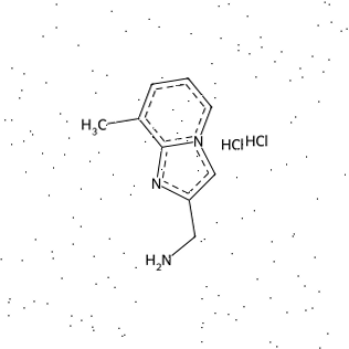 Cc1cccn2cc(CN)nc12.Cl.Cl